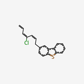 C=C/C=C(Cl)\C=C/Cc1ccc2sc3ccccc3c2c1